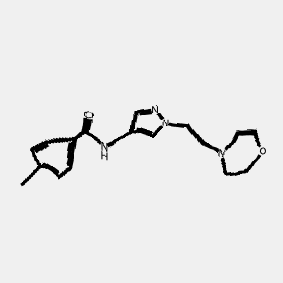 Cc1ccc(C(=O)Nc2cnn(CCN3CCOCC3)c2)cc1